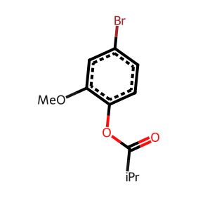 COc1cc(Br)ccc1OC(=O)C(C)C